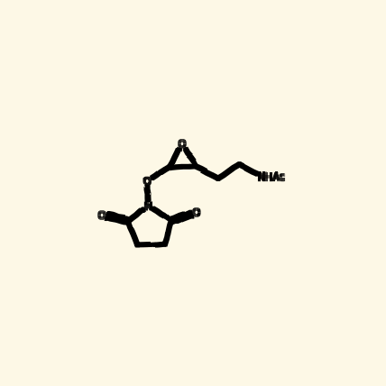 CC(=O)NCCC1OC1ON1C(=O)CCC1=O